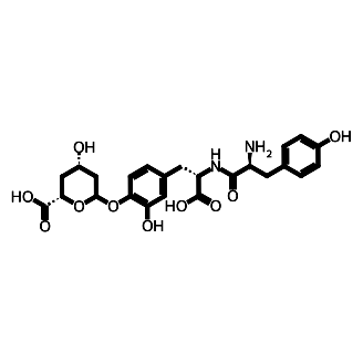 N[C@@H](Cc1ccc(O)cc1)C(=O)N[C@@H](Cc1ccc(OC2C[C@@H](O)C[C@@H](C(=O)O)O2)c(O)c1)C(=O)O